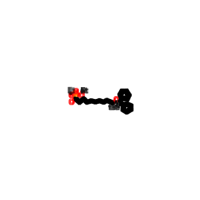 CCOP(=O)(OCC)C(=O)CCCCCCCCCO[Si](c1ccccc1)(c1ccccc1)C(C)(C)C